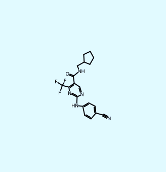 N#Cc1ccc(Nc2ncc(C(=O)NCC3CCCC3)c(C(F)(F)F)n2)cc1